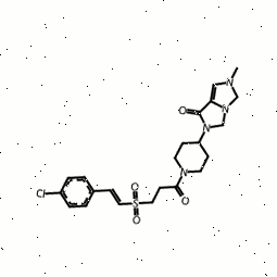 CN1C=C2C(=O)N(C3CCN(C(=O)CCS(=O)(=O)C=Cc4ccc(Cl)cc4)CC3)CN2C1